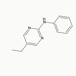 CCc1cnc(Nc2ccccc2)nc1